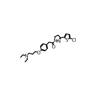 CCN(CC)CCCOc1ccc(CC(=O)N2CCC(c3ccc(Cl)s3)=N2)cc1